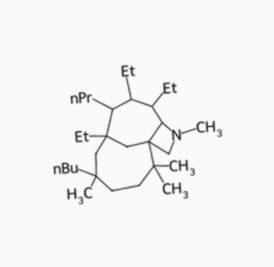 CCCCC1(C)CCC(C)(C)C23CN(C)C2C(CC)C(CC)C(CCC)C(CC)(C1)C3